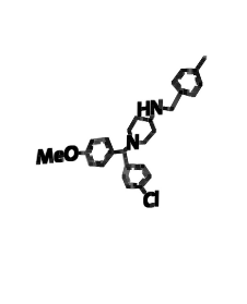 COc1ccc(C(c2ccc(Cl)cc2)N2CCC(NCc3ccc(C)cc3)CC2)cc1